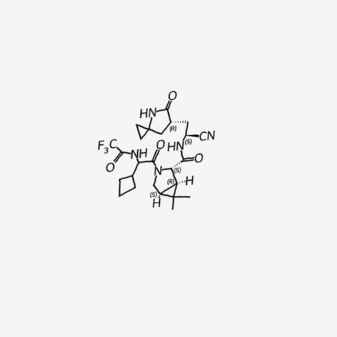 CC1(C)[C@@H]2[C@@H](C(=O)N[C@H](C#N)C[C@@H]3CC4(CC4)NC3=O)N(C(=O)C(NC(=O)C(F)(F)F)C3CCC3)C[C@@H]21